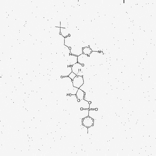 Cc1ccc(S(=O)(=O)OC=CC2(C(=O)O)CS[C@@H]3C(NC(=O)C(=NOCC(=O)OC(C)(C)C)c4csc(N)n4)C(=O)N3C2)cc1